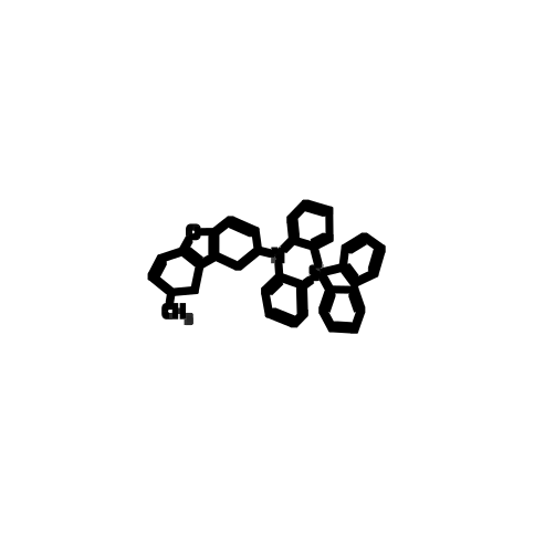 CC1C=Cc2oc3c(c2C1)CC(N1c2ccccc2[Si](c2ccccc2)(c2ccccc2)c2ccccc21)C=C3